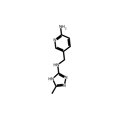 Cc1nnc(NCc2ccc(N)nc2)[nH]1